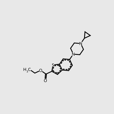 CCOC(=O)c1cc2ccc(N3CCN(C4CC4)CC3)cc2s1